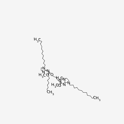 CCCCCCCCCCCCN1CCN(C)/C1=N\P(OC)OCCCOP(/N=C1\N(C)CCN1CCCCCCCCCCCC)OCCCCCCC